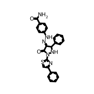 NC(=O)c1ccc(N/N=C2/C(=O)N(c3nc(-c4ccccc4)cs3)NC2c2ccccc2)cc1